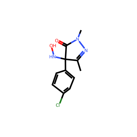 CC1=NN(C)C(=O)C1(NO)c1ccc(Cl)cc1